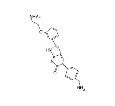 CC(=O)NCCOc1cccc(-c2cc3cn(-c4ccc(CN)cc4)c(=O)nc3[nH]2)c1